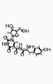 N[C@@H](Cc1ccc(O)cc1)C(=O)NC(=O)c1cn([C@H]2C[C@H](O)[C@@H](CO)O2)c(=O)[nH]c1=O